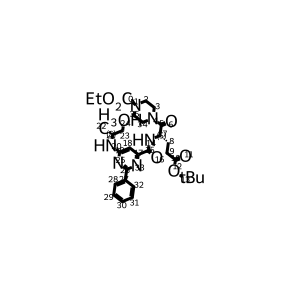 CCOC(=O)N1CCN(C(=O)[C@H](CCC(=O)OC(C)(C)C)NC(=O)c2cc(N[C@@H](C)CO)nc(-c3ccccc3)n2)CC1